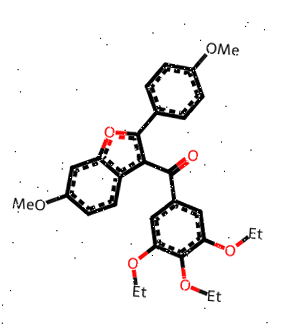 CCOc1cc(C(=O)c2c(-c3ccc(OC)cc3)oc3cc(OC)ccc23)cc(OCC)c1OCC